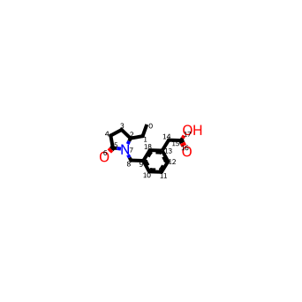 CCC1CCC(=O)N1Cc1cccc(CC(=O)O)c1